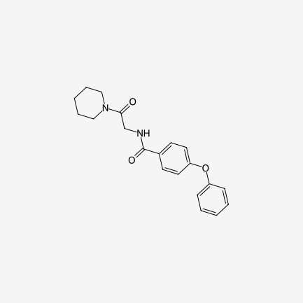 O=C(NCC(=O)N1CCCCC1)c1ccc(Oc2ccccc2)cc1